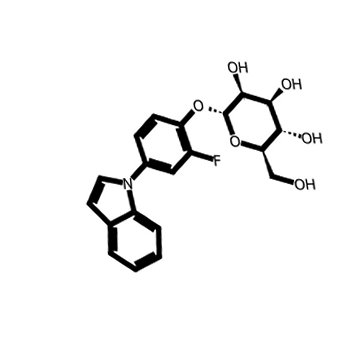 OC[C@H]1O[C@H](Oc2ccc(-n3ccc4ccccc43)cc2F)[C@@H](O)[C@@H](O)[C@@H]1O